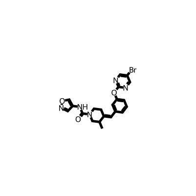 CC1CN(C(=O)Nc2cnoc2)CC/C1=C\c1cccc(Oc2ncc(Br)cn2)c1